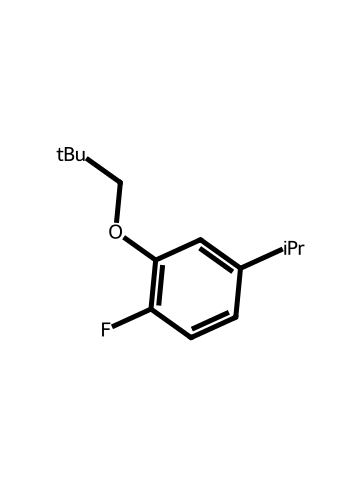 CC(C)c1ccc(F)c(OCC(C)(C)C)c1